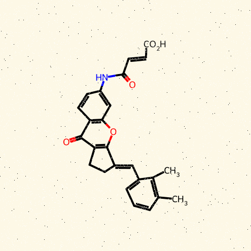 Cc1cccc(C=C2CCc3c2oc2cc(NC(=O)C=CC(=O)O)ccc2c3=O)c1C